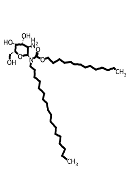 CCCCCCCCCCCCCCCCCCN(C(=O)OCCCCCCCCCCCCCC)[C@@H]1O[C@H](CO)[C@H](O)[C@H](O)[C@H]1N